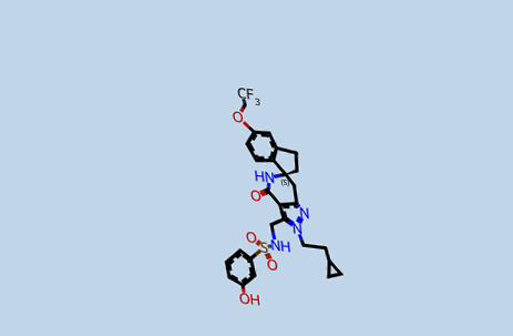 O=C1N[C@@]2(CCc3cc(OCC(F)(F)F)ccc32)Cc2nn(CCC3CC3)c(CNS(=O)(=O)c3cccc(O)c3)c21